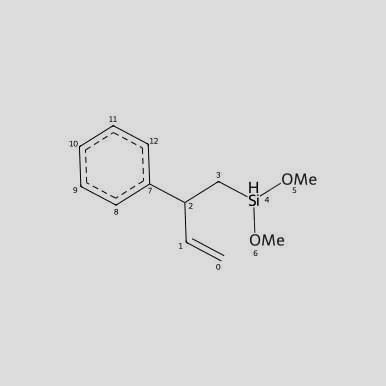 C=CC(C[SiH](OC)OC)c1ccccc1